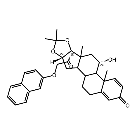 CC1(C)O[C@H]2CC3C4CCC5=CC(=O)C=CC5(C)C4[C@@H](O)CC3(C)[C@]2(C(=O)COc2ccc3ccccc3c2)O1